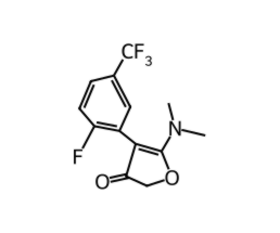 CN(C)C1=C(c2cc(C(F)(F)F)ccc2F)C(=O)CO1